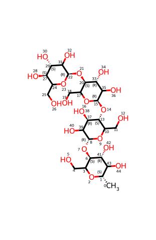 C[C@@H]1OC(CO)[C@@H](O[C@H]2OC(CO)[C@@H](O[C@H]3OC(CO)[C@@H](O[C@H]4OC(CO)[C@@H](O)[C@H](O)C4O)[C@H](O)C3O)[C@H](O)C2O)[C@H](O)C1O